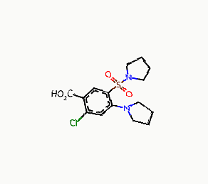 O=C(O)c1cc(S(=O)(=O)N2CCCC2)c(N2CCCC2)cc1Cl